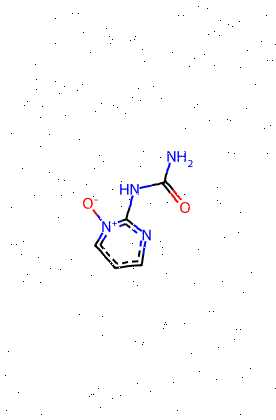 NC(=O)Nc1nccc[n+]1[O-]